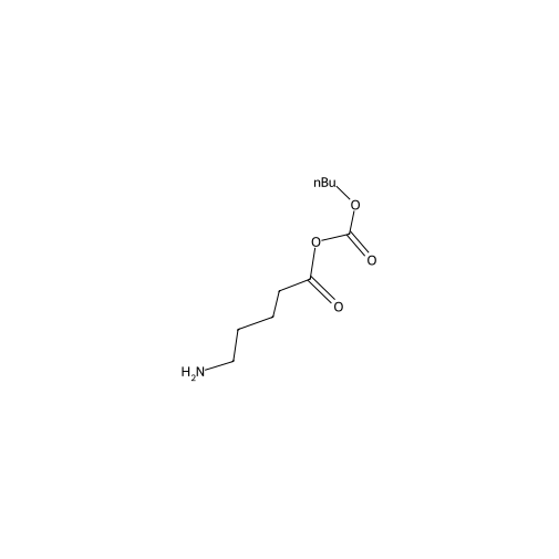 CCCCOC(=O)OC(=O)CCCCN